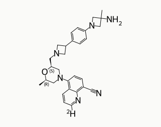 [2H]c1ccc2c(N3C[C@H](CN4CC(c5ccc(N6CC(C)(N)C6)cc5)C4)O[C@H](C)C3)ccc(C#N)c2n1